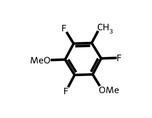 COc1c(F)c(C)c(F)c(OC)c1F